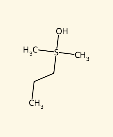 CCCS(C)(C)O